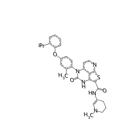 Cc1cc(Oc2ccccc2C(C)C)ccc1N1C(=O)Nc2c(C(=O)NC3=CN(C)CCC3)sc3nccc1c23